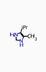 CC1=C(C(C)C)NCN1